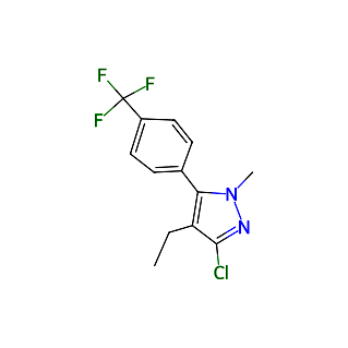 CCc1c(Cl)nn(C)c1-c1ccc(C(F)(F)F)cc1